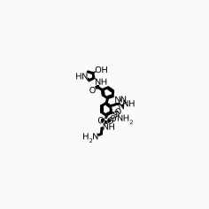 NCCNS(=O)(=O)c1ccc(-c2cccc(C(=O)N[C@@H]3CNC[C@H]3O)c2)c(-c2nn[nH]n2)c1S(N)(=O)=O